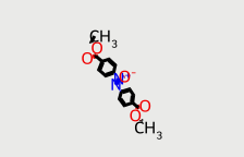 CCOC(=O)c1ccc(N=[N+]([O-])c2ccc(C(=O)OCC)cc2)cc1